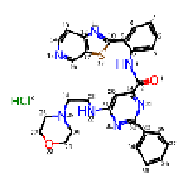 Cl.O=C(Nc1ccccc1-c1nc2ccncc2s1)c1cc(NCCN2CCOCC2)nc(-c2ccccc2)n1